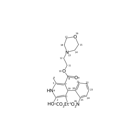 CCOC(=O)C1=C(O)NC(C)=C(C(=O)OCCN2CCOCC2)C1c1ccccc1[N+](=O)[O-]